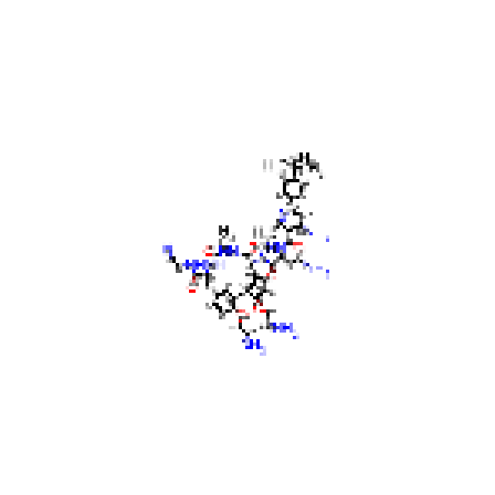 Cc1nc(-c2ccc(C(C)(C)C)cc2)cc(N)c1C(=O)NC(CCN)C(=O)N(C)C1C(=O)NC(C)C(=O)NC(C(=O)NCC#N)Cc2ccc(OCCN)c(c2)-c2cc1ccc2OCCN